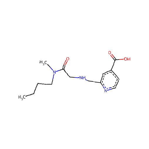 CCCCN(C)C(=O)CNCc1cc(C(=O)O)ccn1